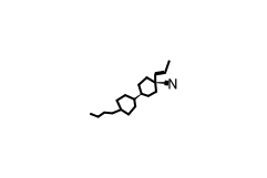 CC=C[C@]1(C#N)CC[C@@H](C2CCC(CCCC)CC2)CC1